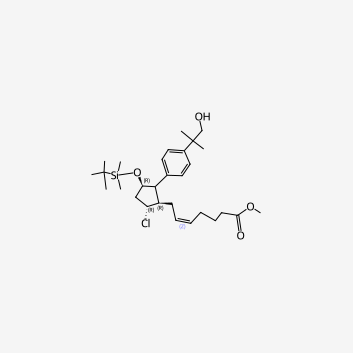 COC(=O)CCC/C=C\C[C@@H]1C(c2ccc(C(C)(C)CO)cc2)[C@H](O[Si](C)(C)C(C)(C)C)C[C@H]1Cl